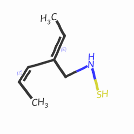 C/C=C\C(=C/C)CNS